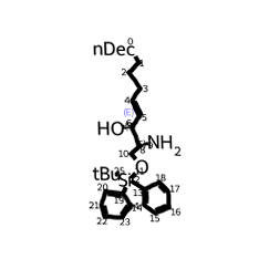 CCCCCCCCCCCCC/C=C/[C@@H](O)[C@@H](N)CO[Si](c1ccccc1)(c1ccccc1)C(C)(C)C